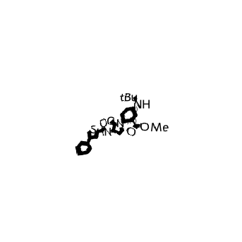 COC(=O)[C@@H]1C[C@H](NC(C)(C)C)CC[C@@H]1N1CCC(NC(=O)c2cc(-c3ccccc3)cs2)C1=O